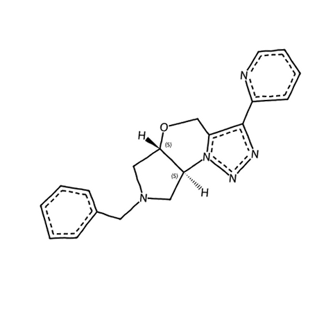 c1ccc(CN2C[C@@H]3OCc4c(-c5ccccn5)nnn4[C@H]3C2)cc1